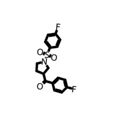 O=C(c1ccc(F)cc1)C1CCN(S(=O)(=O)c2ccc(F)cc2)C1